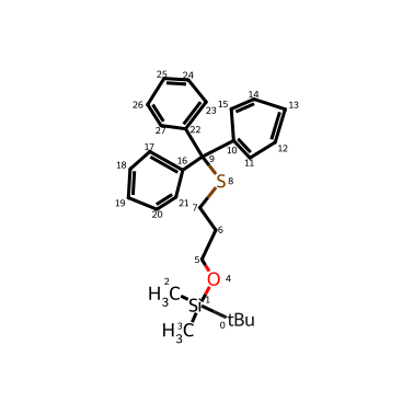 CC(C)(C)[Si](C)(C)OCCCSC(c1ccccc1)(c1ccccc1)c1ccccc1